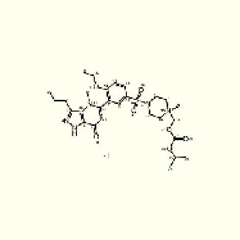 CCCc1n[nH]c2c(=O)nc(-c3cc(S(=O)(=O)N4CC[N+](C)(COC(=O)OC(C)C)CC4)ccc3OCC)n(C)c12.[I-]